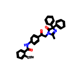 COc1ccccc1C(=O)Nc1ccc(C(=O)CN2C(=O)C(c3ccccc3)(c3ccccc3)N=C2C)cc1